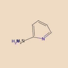 N[SiH2]c1ccccn1